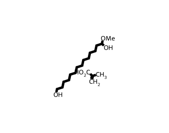 C=C(C)C(=O)O.COC(O)CCCCCCCCCCCCCO